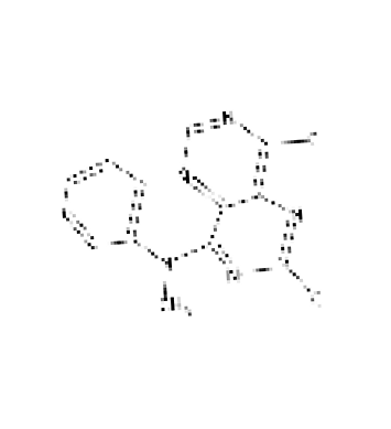 CN(c1ccccc1)c1nc(Cl)nc2c(Cl)ncnc12